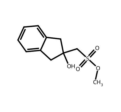 COS(=O)(=O)CC1(O)Cc2ccccc2C1